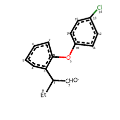 CCC([C]=O)c1ccccc1Oc1ccc(Cl)cc1